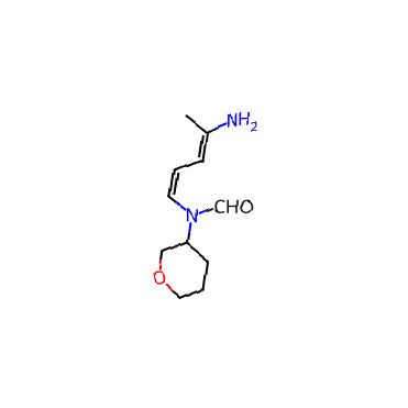 C/C(N)=C\C=C/N(C=O)C1CCCOC1